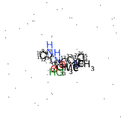 COC(=O)[C@H](Cc1c[nH]c2ccccc12)NC(=O)CC1CCC(c2ccccc2)(N(C)C)CC1.Cl